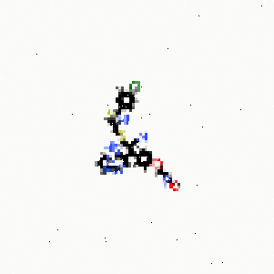 N#CC1=C(c2ccc(OCCN=O)cc2)C(C=N)=C(N2CCCC2)NC1SCC1=CSC(c2ccc(Cl)cc2)N1